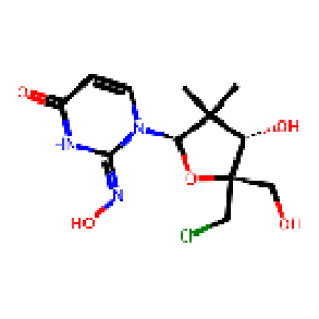 CC1(C)[C@H](n2ccc(=O)[nH]/c2=N\O)O[C@@](CO)(CCl)[C@H]1O